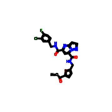 COC(=O)c1ccc(CNC(=O)c2cc(C(=O)NCc3ccc(F)c(Cl)c3)nc3ccnn23)s1